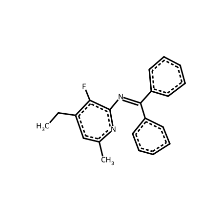 CCc1cc(C)nc(N=C(c2ccccc2)c2ccccc2)c1F